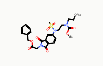 COCCN(CCN(c1ccc2c(c1)C(=O)N(CC(=O)OCc1ccccc1)C2=O)S(C)(=O)=O)C(=O)OC(C)(C)C